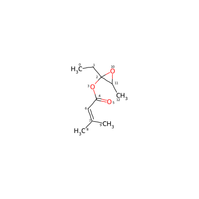 CCC1(OC(=O)C=C(C)C)OC1C